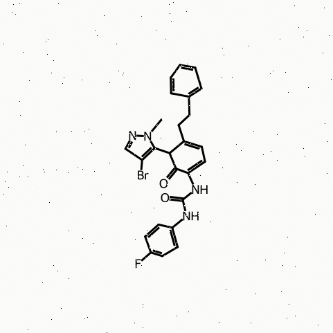 Cn1ncc(Br)c1C1C(=O)C(NC(=O)Nc2ccc(F)cc2)=CC=C1CCc1ccccc1